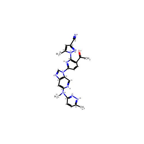 CC(=O)c1ccc(-n2cnc3cc(N(C)c4ccc(C)nn4)ncc32)nc1-n1nc(C#N)cc1C